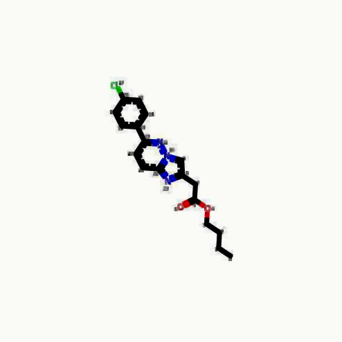 CCCCOC(=O)Cc1cn2nc(-c3ccc(Cl)cc3)ccc2n1